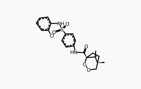 CC1(C)[C@]2(C)CC[C@@]1(C(=O)Nc1ccc(S(=O)(=O)Nc3ccccc3Cl)cc1)OOC2